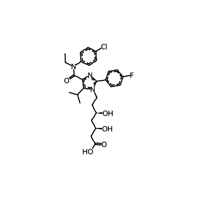 CCN(C(=O)c1nc(-c2ccc(F)cc2)n(CC[C@@H](O)C[C@@H](O)CC(=O)O)c1C(C)C)c1ccc(Cl)cc1